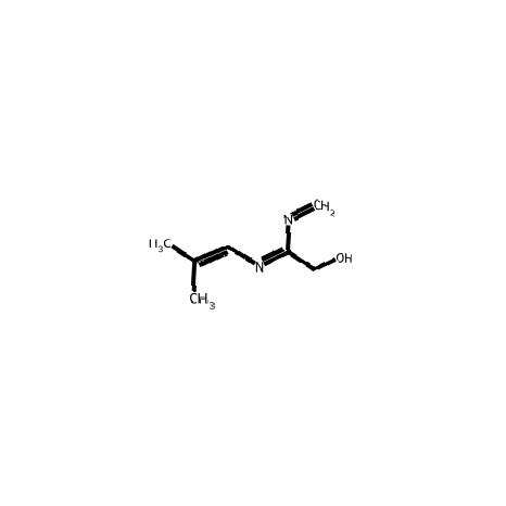 C=N/C(CO)=N\C=C(C)C